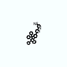 N#Cc1ccnc(-c2ccc(-c3ccc4c(c3)C(c3ccccc3)(c3ccccc3)c3cc(-c5ccccc5)c5ccccc5c3-4)cn2)c1